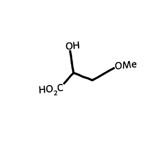 COCC(O)C(=O)O